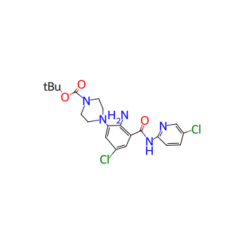 CC(C)(C)OC(=O)N1CCN(c2cc(Cl)cc(C(=O)Nc3ccc(Cl)cn3)c2N)CC1